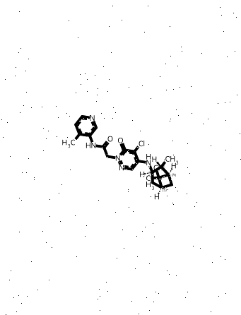 Cc1ccncc1NC(=O)Cn1ncc(N[C@@H]2C[C@@H]3C[C@H]([C@H]2C)C3(C)C)c(Cl)c1=O